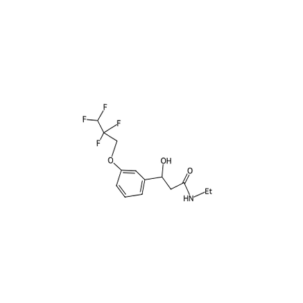 CCNC(=O)CC(O)c1cccc(OCC(F)(F)C(F)F)c1